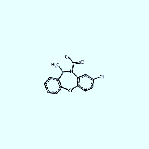 CC1c2ccccc2Oc2ccc(Cl)cc2N1C(=O)Cl